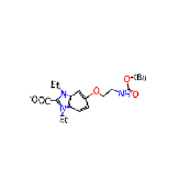 CCn1c(C(=O)[O-])[n+](CC)c2ccc(OCCNC(=O)OC(C)(C)C)cc21